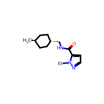 CCn1nccc1C(=O)NC[C@H]1CC[C@H](C)CC1